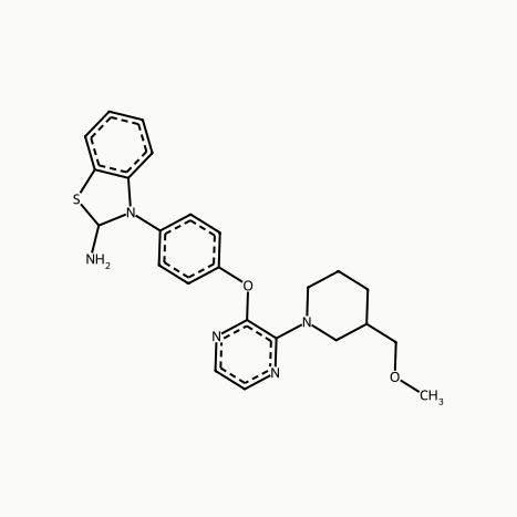 COCC1CCCN(c2nccnc2Oc2ccc(N3c4ccccc4SC3N)cc2)C1